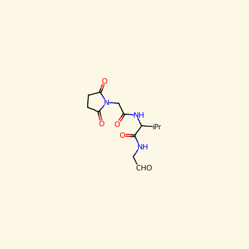 CC(C)C(NC(=O)CN1C(=O)CCC1=O)C(=O)NCC=O